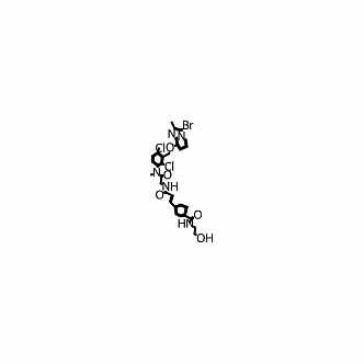 Cc1nc2c(OCc3c(Cl)ccc(N(C)C(=O)CNC(=O)C=Cc4ccc(C(=O)NCCO)cc4)c3Cl)cccn2c1Br